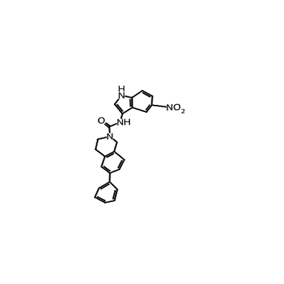 O=C(Nc1c[nH]c2ccc([N+](=O)[O-])cc12)N1CCc2cc(-c3ccccc3)ccc2C1